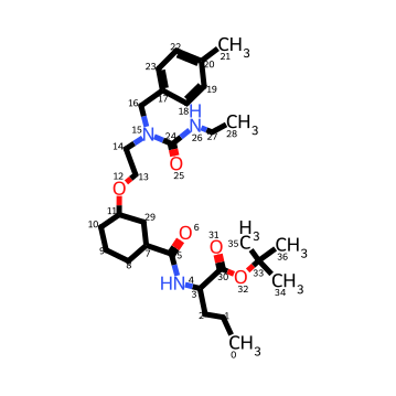 CCCC(NC(=O)C1CCCC(OCCN(Cc2ccc(C)cc2)C(=O)NCC)C1)C(=O)OC(C)(C)C